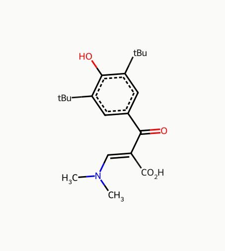 CN(C)C=C(C(=O)O)C(=O)c1cc(C(C)(C)C)c(O)c(C(C)(C)C)c1